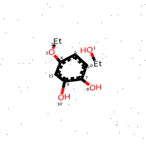 CCO.CCOc1ccc(O)c(O)c1